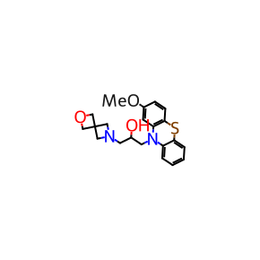 COc1ccc2c(c1)N(CC(O)CN1CC3(COC3)C1)c1ccccc1S2